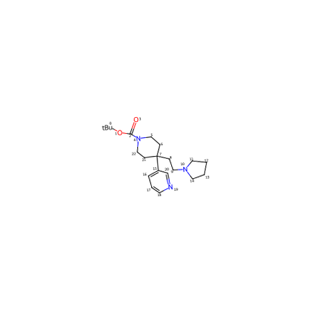 CC(C)(C)OC(=O)N1CCC(CCN2CCCC2)(c2cccnc2)CC1